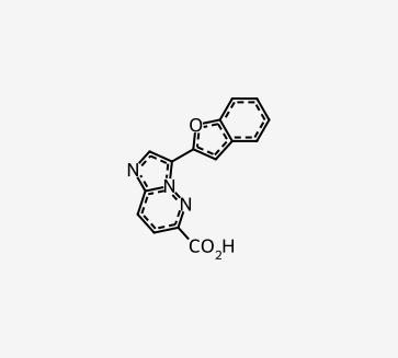 O=C(O)c1ccc2ncc(-c3cc4ccccc4o3)n2n1